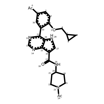 CC(=O)c1ccc(OCC2CC2)c(-c2ncnc3c(C(=O)NC4CCN(C(C)=O)CC4)c[nH]c23)c1